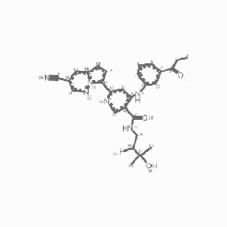 CCC(=O)c1cccc(Nc2cc(-c3ccc4cc(C#N)cnn34)ncc2C(=O)NCC(F)C(C)(C)O)c1